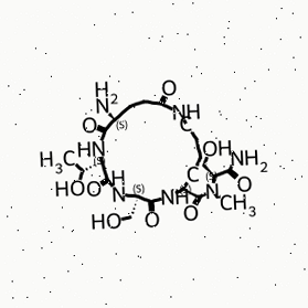 CC(O)[C@@H]1NC(=O)[C@@H](N)CCC(=O)NCCCC[C@@H](C(=O)N(C)[C@@H](CO)C(N)=O)NC(=O)[C@H](CO)NC1=O